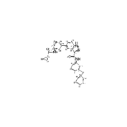 O=C(Nc1cccc(Cc2ccccc2)c1)c1n[nH]c2ccc(-c3cncc(NC(=O)C4CC4)c3)cc12